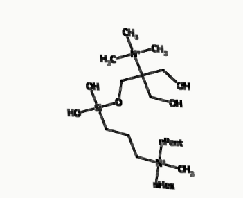 CCCCCC[N+](C)(CCCCC)CCC[Si](O)(O)OCC(CO)(CO)[N+](C)(C)C